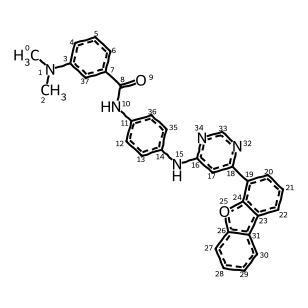 CN(C)c1cccc(C(=O)Nc2ccc(Nc3cc(-c4cccc5c4oc4ccccc45)ncn3)cc2)c1